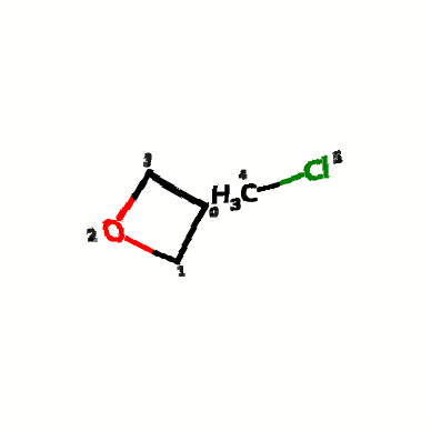 C1COC1.CCl